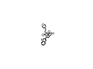 O=C1N(CCN2CCOCC2)C(=O)C23CNCC2CC(c2cnc4ccccc4c2)N13